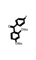 COc1ccc(C(=O)c2ccc(F)cc2)c(OC)c1